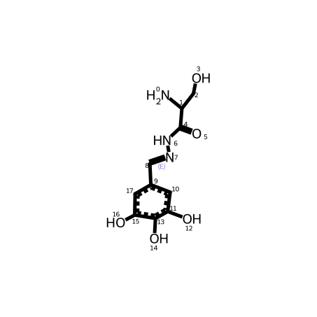 NC(CO)C(=O)N/N=C/c1cc(O)c(O)c(O)c1